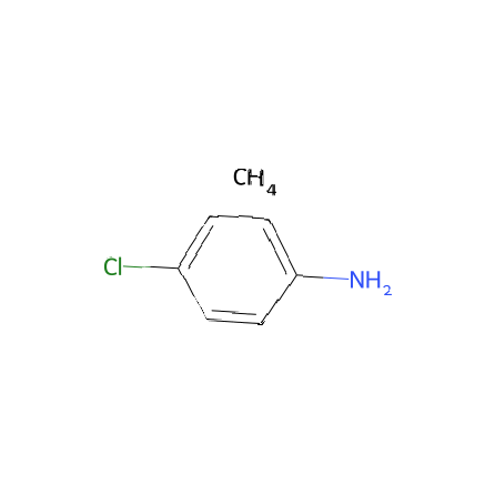 C.Nc1ccc(Cl)cc1